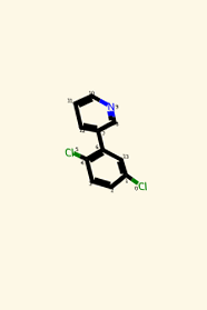 Clc1ccc(Cl)c(-c2[c]nccc2)c1